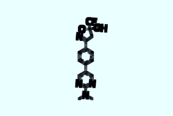 CN(C)c1ncc(-c2ccc(C3=NOC(O)(C(F)(F)F)C3)cc2)cn1